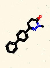 CN1N=C(c2ccc(-c3ccccc3)cc2)CCC1=O